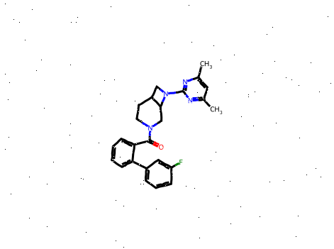 Cc1cc(C)nc(N2CC3CCN(C(=O)c4ccccc4-c4cccc(F)c4)CC32)n1